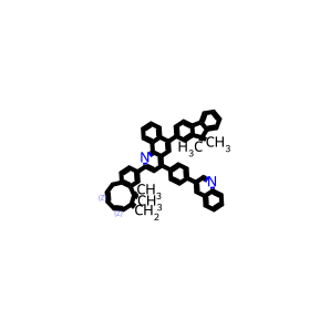 C=C1/C=C\C=C/Cc2ccc(-c3cc(-c4ccc(-c5cnc6ccccc6c5)cc4)c4cc(-c5ccc6c(c5)C(C)(C)c5ccccc5-6)c5ccccc5c4n3)cc2C1(C)C